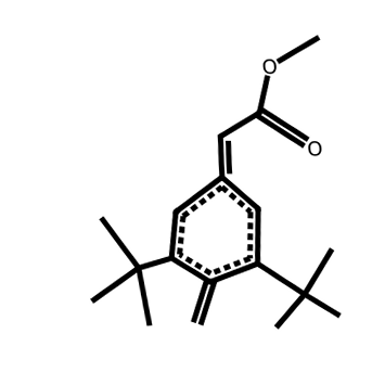 C=c1c(C(C)(C)C)cc(=CC(=O)OC)cc1C(C)(C)C